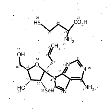 C=CC[C@@]1(n2cnc3c(N)ncnc32)O[C@H](CO)[C@@H](O)[C@H]1[SeH].NC(CCS)C(=O)O